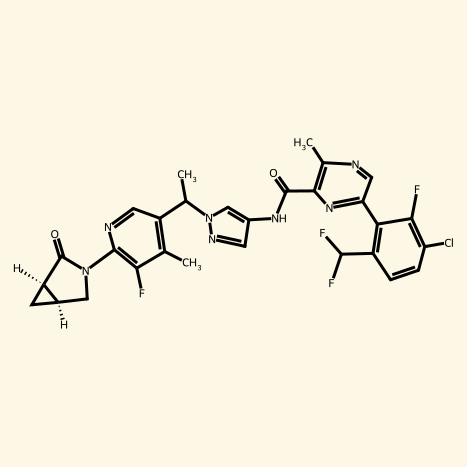 Cc1ncc(-c2c(C(F)F)ccc(Cl)c2F)nc1C(=O)Nc1cnn(C(C)c2cnc(N3C[C@H]4C[C@H]4C3=O)c(F)c2C)c1